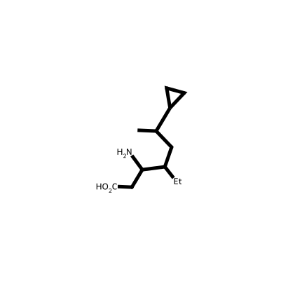 CCC(CC(C)C1CC1)C(N)CC(=O)O